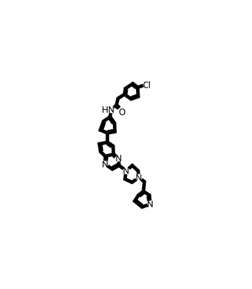 O=C(Cc1ccc(Cl)cc1)Nc1ccc(-c2ccc3ncc(N4CCN(Cc5cccnc5)CC4)nc3c2)cc1